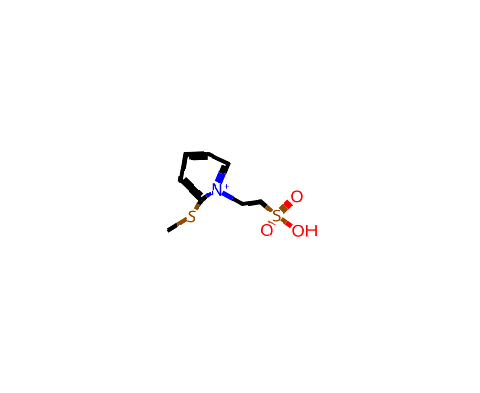 CSc1cccc[n+]1CCS(=O)(=O)O